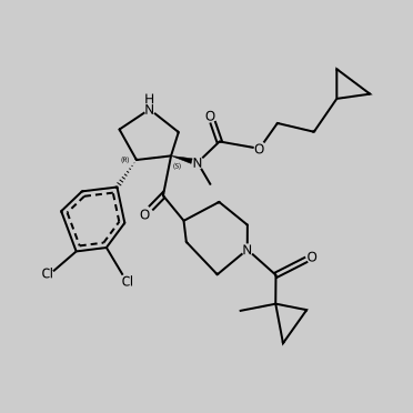 CN(C(=O)OCCC1CC1)[C@]1(C(=O)C2CCN(C(=O)C3(C)CC3)CC2)CNC[C@H]1c1ccc(Cl)c(Cl)c1